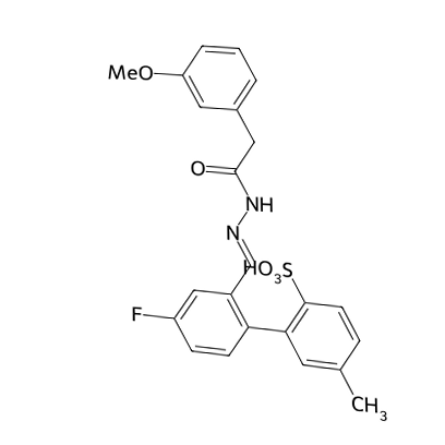 COc1cccc(CC(=O)NN=Cc2cc(F)ccc2-c2cc(C)ccc2S(=O)(=O)O)c1